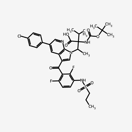 CCCS(=O)(=O)Nc1ccc(F)c(C(=O)c2cn(C(C)C(NC(=O)OC(C)(C)C)(C(=O)O)C(C)C)c3ncc(-c4ccc(Cl)cc4)cc23)c1F